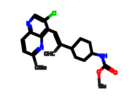 COc1ccc2ncc(Cl)c(C=C(C=O)C3CCC(NC(=O)OC(C)(C)C)CC3)c2n1